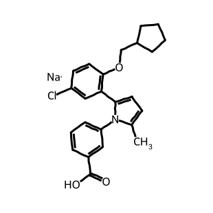 Cc1ccc(-c2cc(Cl)ccc2OCC2CCCC2)n1-c1cccc(C(=O)O)c1.[Na]